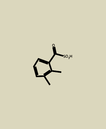 Cc1cccc(C(=O)S(=O)(=O)O)c1C